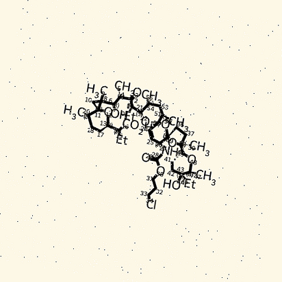 CC[C@@H](C(=O)[C@@H](C)[C@@H](O)C1(C)C[C@]12O[C@@H]([C@@H](CC)C(=O)O)CC[C@@H]2C)[C@H]1O[C@]2(C=C[C@@H](NC(=O)OCCCCl)[C@]3(CC[C@@](C)([C@H]4CC[C@](O)(CC)[C@H](C)O4)O3)O2)[C@H](C)C[C@@H]1C